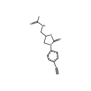 C#Cc1ccc(N2CC(CNC(C)=O)OC2=O)cc1